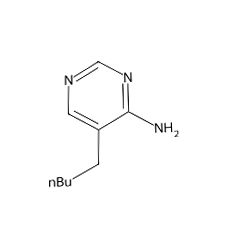 CCCCCc1cncnc1N